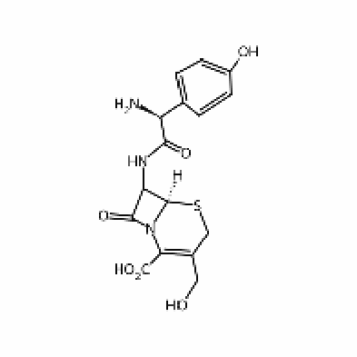 N[C@H](C(=O)NC1C(=O)N2C(C(=O)O)=C(CO)CS[C@H]12)c1ccc(O)cc1